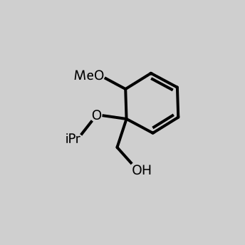 COC1C=CC=CC1(CO)OC(C)C